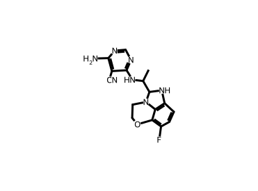 CC(Nc1ncnc(N)c1C#N)C1Nc2ccc(F)c3c2N1CCO3